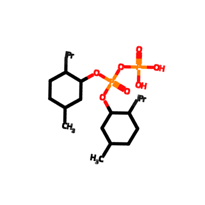 CC1CCC(C(C)C)C(OP(=O)(OC2CC(C)CCC2C(C)C)OP(=O)(O)O)C1